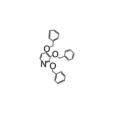 c1ccc(COc2ccnc(OCc3ccccc3)c2OCc2ccccc2)cc1